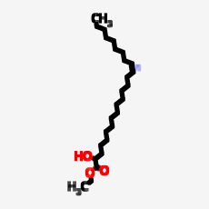 CCCCCCCC/C=C\CCCCCCCCCCCCC(O)C(=O)OCC